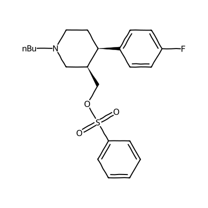 CCCCN1CC[C@@H](c2ccc(F)cc2)[C@@H](COS(=O)(=O)c2ccccc2)C1